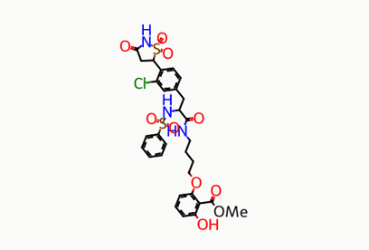 COC(=O)c1c(O)cccc1OCCCCNC(=O)C(Cc1ccc(C2CC(=O)NS2(=O)=O)c(Cl)c1)NS(=O)(=O)c1ccccc1